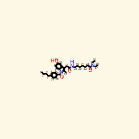 CCCCc1ccc(C(=O)n2c(C)c(CC(=O)NCCCCCCC(=O)N(CC)CC)c3cc(O)ccc32)cc1